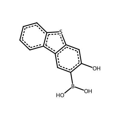 OB(O)c1cc2c(cc1O)sc1ccccc12